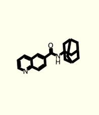 O=C(NC12CC3CC(CC(C3)C1)C2)c1ccc2ncccc2c1